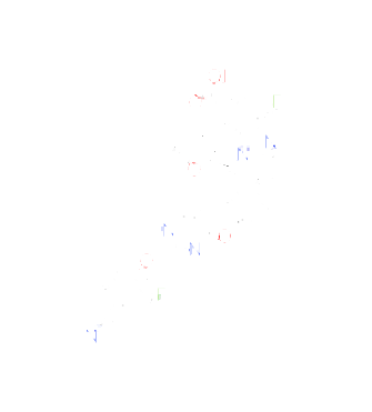 Cc1cc(Oc2ccnc(COc3ccc(C#N)cc3F)n2)ccc1Cc1nc2c(F)cc(C(=O)O)cc2n1C[C@@H]1CCO1